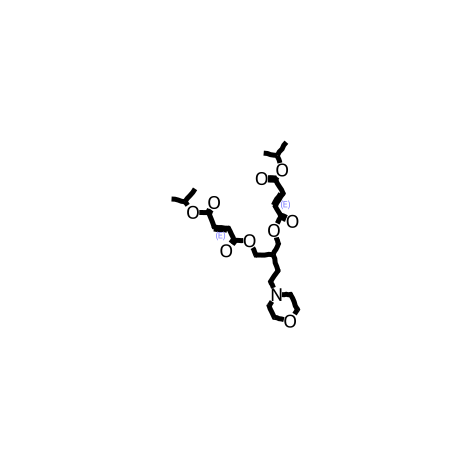 CC(C)OC(=O)/C=C/C(=O)OCC(CCN1CCOCC1)COC(=O)/C=C/C(=O)OC(C)C